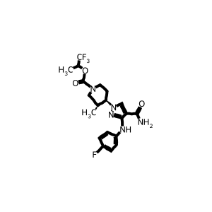 CC(OC(=O)N1CC[C@@H](n2cc(C(N)=O)c(Nc3ccc(F)cc3)n2)[C@H](C)C1)C(F)(F)F